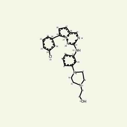 OCCN1CCN(c2cccc(Nc3ncc4ccc(-c5cccc(Cl)c5)n4n3)c2)CC1